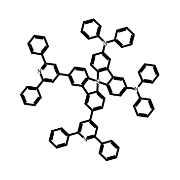 c1ccc(-c2cc(-c3ccc4c(c3)-c3cc(-c5cc(-c6ccccc6)nc(-c6ccccc6)c5)ccc3[Si]43c4ccc(N(c5ccccc5)c5ccccc5)cc4-c4cc(N(c5ccccc5)c5ccccc5)ccc43)cc(-c3ccccc3)n2)cc1